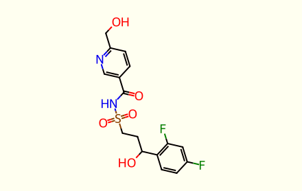 O=C(NS(=O)(=O)CCC(O)c1ccc(F)cc1F)c1ccc(CO)nc1